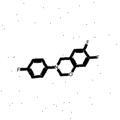 Fc1ccc(N2COc3cc(F)c(F)cc3C2)cc1